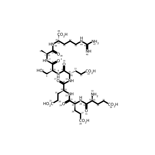 C[C@H](NC(=O)[C@H](CO)NC(=O)[C@H](CCC(=O)O)NC(=O)[C@H](CCC(=O)O)NC(=O)[C@H](CCC(=O)O)NC(=O)[C@@H](N)CCC(=O)O)C(=O)N[C@@H](CCCNC(=N)N)C(=O)O